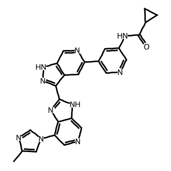 Cc1cn(-c2cncc3[nH]c(-c4n[nH]c5cnc(-c6cncc(NC(=O)C7CC7)c6)cc45)nc23)cn1